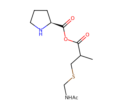 CC(=O)NCSCC(C)C(=O)OC(=O)[C@@H]1CCCN1